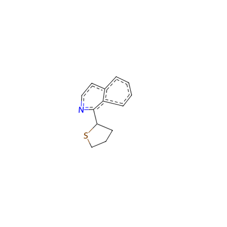 c1ccc2c(C3CCCS3)nccc2c1